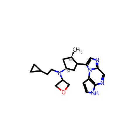 C[C@@H]1C[C@H](N(CCC2CC2)C2COC2)CC1c1cnc2cnc3[nH]ccc3n12